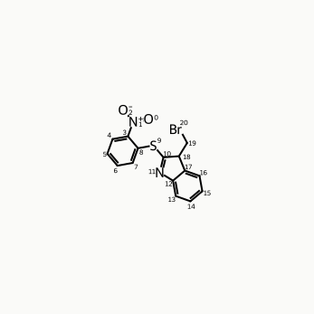 O=[N+]([O-])c1ccccc1SC1=Nc2ccccc2C1CBr